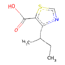 CCC(C)c1ncsc1C(=O)O